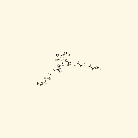 C=CC.CCCCCCCCCC(=O)OC(CO)COC(=O)CCCCCCC